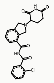 O=C1CCC(N2Cc3cccc(C(=O)NC(=O)c4ccccc4Cl)c3C2)C(=O)N1